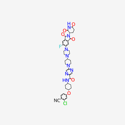 N#Cc1ccc(O[C@H]2CC[C@H](NC(=O)c3cnc(N4CCC(N5CCN(c6cc7c(cc6F)C(=O)N(C6CCC(=O)NC6=O)C7=O)CC5)CC4)cn3)CC2)cc1Cl